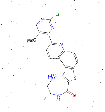 COc1cnc(Cl)nc1-c1ccc2c(ccc3sc4c(c32)NC[C@@H](C)NC4=O)n1